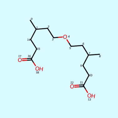 CC(CCOCCC(C)CCC(=O)O)CCC(=O)O